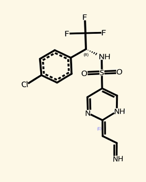 N=C/C=C1/N=CC(S(=O)(=O)N[C@H](c2ccc(Cl)cc2)C(F)(F)F)=CN1